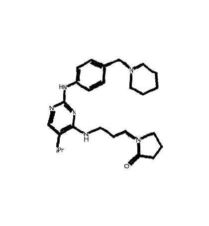 CC(C)c1cnc(Nc2ccc(CN3CCCCC3)cc2)nc1NCCCN1CCCC1=O